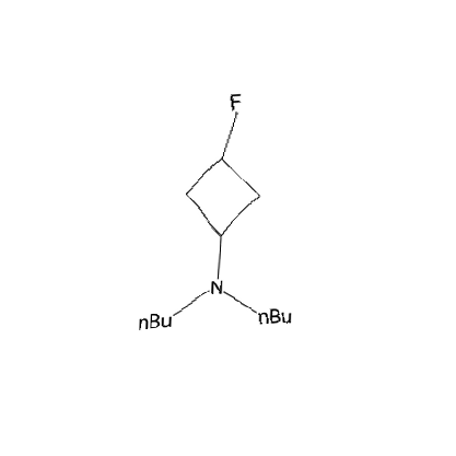 CCCCN(CCCC)C1CC(F)C1